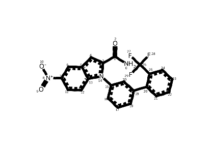 NC(=O)c1cc2cc([N+](=O)[O-])ccc2n1-c1cccc(-c2ccccc2C(F)(F)F)c1